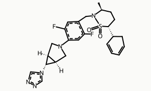 C[C@H]1CC[C@H](C2C=CC=CC2)S(=O)(=O)N1Cc1cc(F)c(N2C[C@@H]3[C@H](C2)[C@H]3n2cnnc2)cc1F